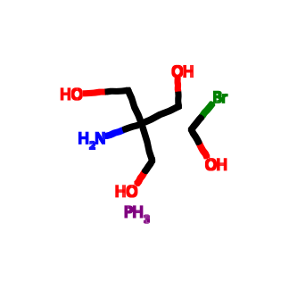 NC(CO)(CO)CO.OCBr.P